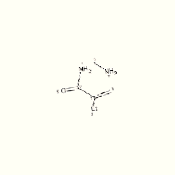 C=C(CC)C(N)=O.CN